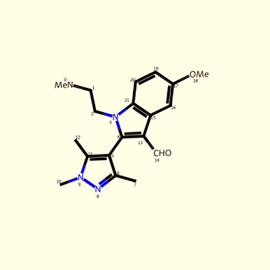 CNCCn1c(-c2c(C)nn(C)c2C)c(C=O)c2cc(OC)ccc21